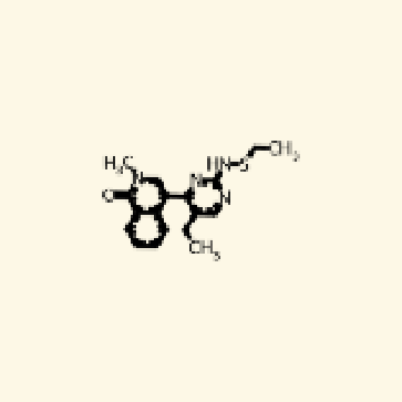 CCSNc1ncc(CC)c(-c2cn(C)c(=O)c3ccccc23)n1